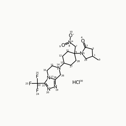 CC1CC(=O)N(C2(C[N+](=O)[O-])CCC(N3CCn4c(nnc4C(F)(F)F)C3)CC2)C1.Cl